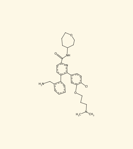 CN(C)CCCOc1cc(-c2nc(C(=O)NC3CCCOCC3)ccc2-c2ccccc2CN)ccc1Cl